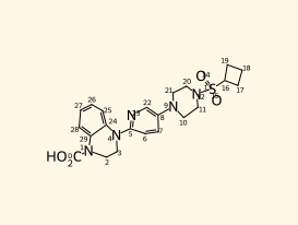 O=C(O)N1CCN(c2ccc(N3CCN(S(=O)(=O)C4CCC4)CC3)cn2)c2ccccc21